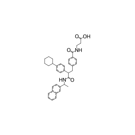 CC(NC(=O)C(Cc1ccc(C(=O)NCCC(=O)O)cc1)c1ccc(C2CCCCC2)cc1)c1ccc2ccccc2c1